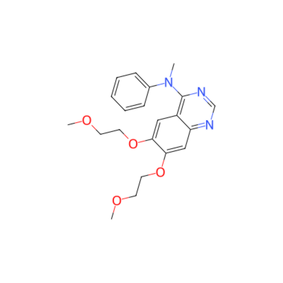 COCCOc1cc2ncnc(N(C)c3ccccc3)c2cc1OCCOC